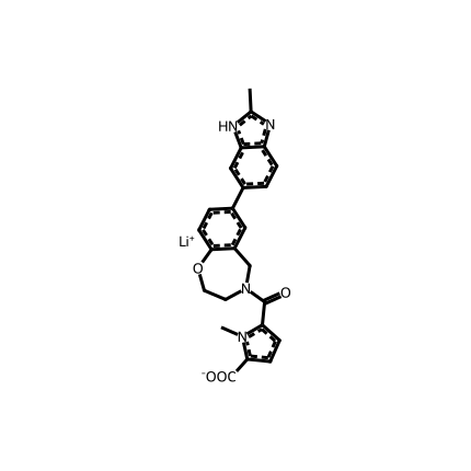 Cc1nc2ccc(-c3ccc4c(c3)CN(C(=O)c3ccc(C(=O)[O-])n3C)CCO4)cc2[nH]1.[Li+]